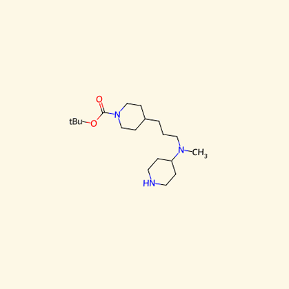 CN(CCCC1CCN(C(=O)OC(C)(C)C)CC1)C1CCNCC1